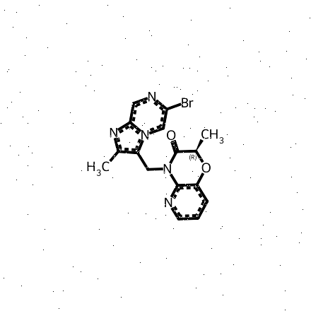 Cc1nc2cnc(Br)cn2c1CN1C(=O)[C@@H](C)Oc2cccnc21